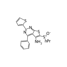 CCC[S+]([O-])c1sc2nc(-c3cccs3)nc(-c3ccccc3)c2c1N